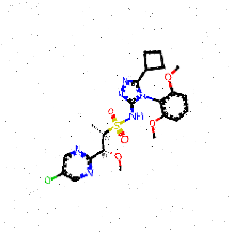 COc1cccc(OC)c1-n1c(NS(=O)(=O)[C@@H](C)[C@H](OC)c2ncc(Cl)cn2)nnc1C1CCC1